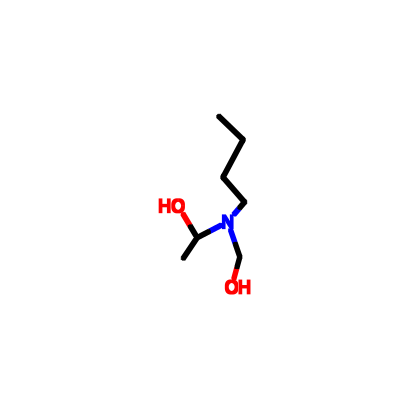 CCCCN(CO)C(C)O